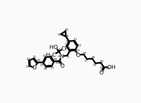 CC(C)(O)N(Cc1cc(C2CC2)ccc1OCCCCCC(=O)O)C(=O)c1ccc(-c2ccco2)cc1